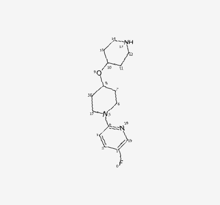 Fc1ccc(N2CCC(OC3CCNCC3)CC2)nc1